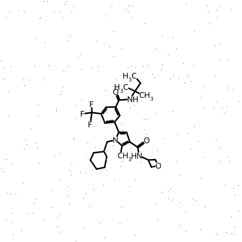 CCC(C)(C)NC(=O)c1cc(-c2cc(C(=O)NC3COC3)c(C)n2CC2CCCCC2)cc(C(F)(F)F)c1